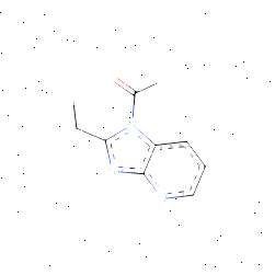 CCc1nc2ncccc2n1C(C)=O